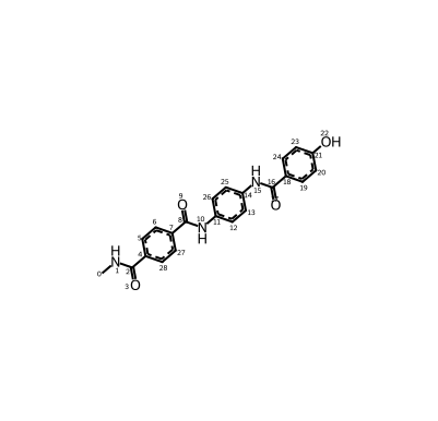 CNC(=O)c1ccc(C(=O)Nc2ccc(NC(=O)c3ccc(O)cc3)cc2)cc1